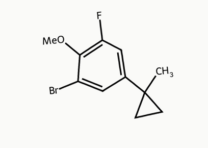 COc1c(F)cc(C2(C)CC2)cc1Br